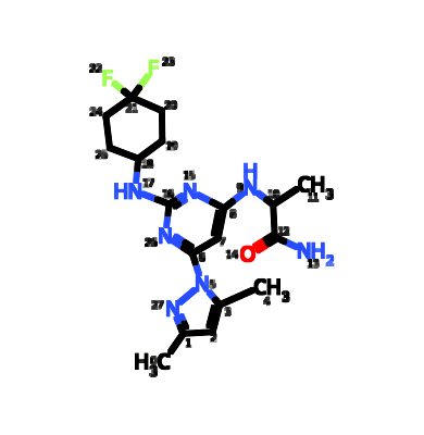 Cc1cc(C)n(-c2cc(NC(C)C(N)=O)nc(NC3CCC(F)(F)CC3)n2)n1